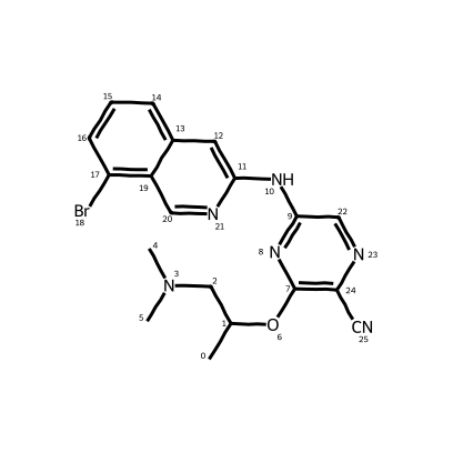 CC(CN(C)C)Oc1nc(Nc2cc3cccc(Br)c3cn2)cnc1C#N